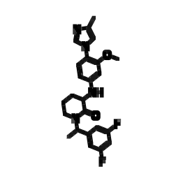 COc1cc(NC2CCCN(C(C)c3cc(F)cc(F)c3)C2=O)ccc1-n1cnc(C)c1